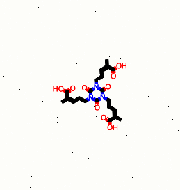 CC(=CCCn1c(=O)n(CCC=C(C)C(=O)O)c(=O)n(CCC=C(C)C(=O)O)c1=O)C(=O)O